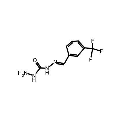 NNC(=O)NN=Cc1cccc(C(F)(F)F)c1